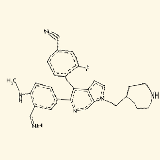 CNc1ccc(-c2ncc3c(ccn3CC3CCNCC3)c2-c2ccc(C#N)cc2F)cc1C=N